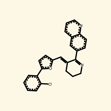 Clc1ccccc1-c1ccc(C=C2CCCN=C2c2ccc3ncccc3c2)o1